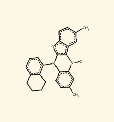 Cc1ccc2c(c1)[S+]([O-])c1c(oc3ccc(C)cc13)N2c1cccc2c1CCCC2